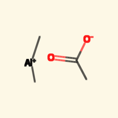 CC(=O)[O-].[CH3][Al+][CH3]